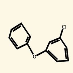 Clc1cccc(Oc2c[c]ccc2)c1